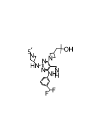 CSN1CC(Nc2nc(Nc3cccc(C(F)F)c3)c(C=N)c(N3CC(CC(C)(C)O)C3)n2)C1